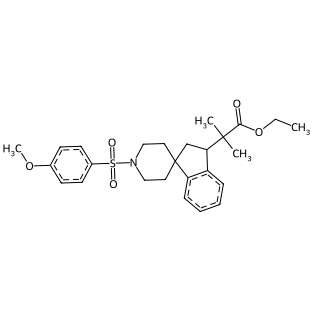 CCOC(=O)C(C)(C)C1CC2(CCN(S(=O)(=O)c3ccc(OC)cc3)CC2)c2ccccc21